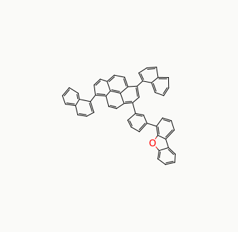 c1cc(-c2cc(-c3cccc4ccccc34)c3ccc4ccc(-c5cccc6ccccc56)c5ccc2c3c45)cc(-c2cccc3c2oc2ccccc23)c1